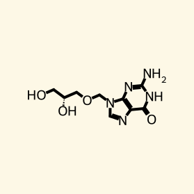 Nc1nc2c(ncn2COC[C@H](O)CO)c(=O)[nH]1